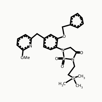 COc1cccc(Cc2ccc(N3CC(=O)N(CC[Si](C)(C)C)S3(=O)=O)c(OCc3ccccc3)c2)n1